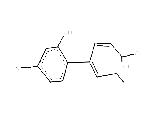 CC/C=C(\C=C/C(C)S)c1ccc(C)cc1C